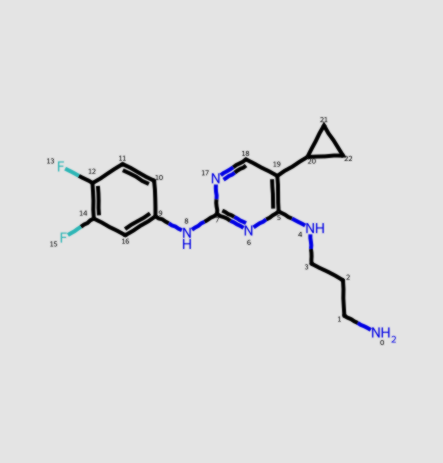 NCCCNc1nc(Nc2ccc(F)c(F)c2)ncc1C1CC1